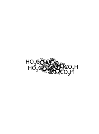 C=C.O=C(O)c1ccc(C(=O)OC(OC(=O)c2ccc(C(=O)O)cc2)C2CCCCC2C(OC(=O)c2ccc(C(=O)O)cc2)OC(=O)c2ccc(C(=O)O)cc2)cc1